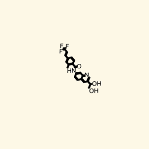 Cc1cc(C=CC(F)(F)F)ccc1C(=O)Nc1ccc2cc(C(O)CO)cnc2c1